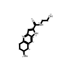 CC(C)(C)C1CCc2nc3cc(C(=O)NCCO)[nH]c3cc2C1